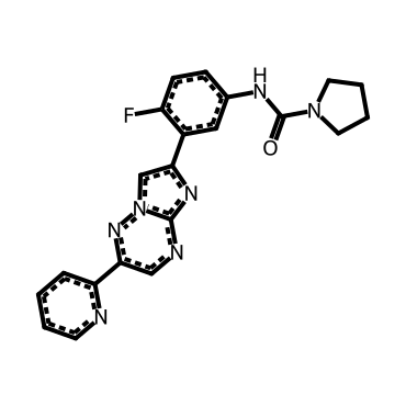 O=C(Nc1ccc(F)c(-c2cn3nc(-c4ccccn4)cnc3n2)c1)N1CCCC1